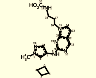 C1CCC1.Cn1cc(Nc2ncc3ccn(CCCNC(=O)O)c3n2)cn1